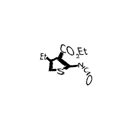 CCOC(=O)c1c(CC)csc1N=C=O